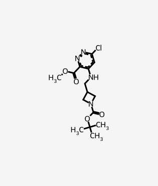 COC(=O)c1nnc(Cl)cc1NCC1CN(C(=O)OC(C)(C)C)C1